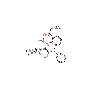 CC(=O)O.CC(=O)O.CC(=O)O.CC(=O)OC[C@H]1CC[C@H](c2ccccc2C(c2ccccc2)c2ccccc2)[C@@H](Br)O1